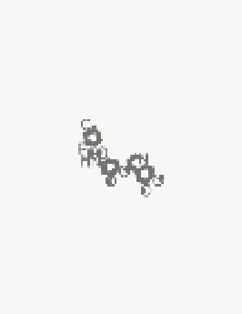 COc1cc2nccc(Oc3ccc(NS(=O)(=O)c4ccc(Cl)cc4F)cc3OC)c2cc1OC